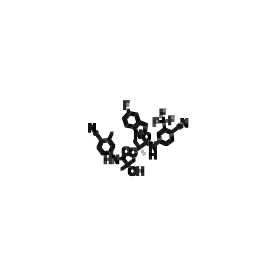 Cc1cc(NC(=O)C(C)(O)CO[C@@](C)(Cn2ccc3cc(F)ccc32)C(=O)Nc2ccc(C#N)c(C(F)(F)F)c2)ccc1C#N